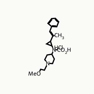 COCCN1CCC(N(C(=O)O)C2CC2C(C)=Cc2ccccc2)CC1.Cl